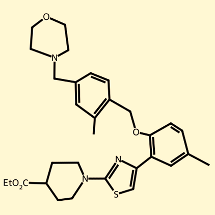 CCOC(=O)C1CCN(c2nc(-c3cc(C)ccc3OCc3ccc(CN4CCOCC4)cc3C)cs2)CC1